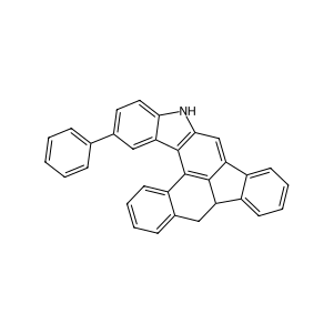 c1ccc(-c2ccc3[nH]c4cc5c6c(c4c3c2)-c2ccccc2CC6c2ccccc2-5)cc1